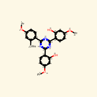 COc1cc(OC(C)C)ccc1-c1nc(-c2ccc(OC(C)C)cc2O)nc(-c2ccc(OC(C)C)cc2O)n1